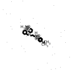 CN(C)c1ccc(S(=O)(=O)NCCCN(CC2CCCCC2)C2CCCN(S(N)(=O)=O)C2)cc1